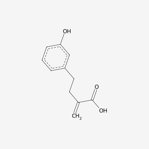 C=C(CCc1cccc(O)c1)C(=O)O